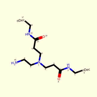 CCCCCCCCCCCNC(=O)CCN(CCN)CCC(=O)NCCCCCCCCCCC